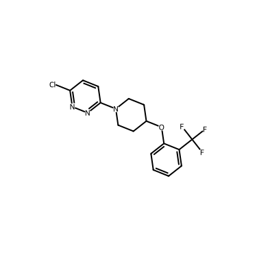 FC(F)(F)c1ccccc1OC1CCN(c2ccc(Cl)nn2)CC1